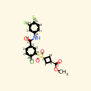 COC(=O)[C@H]1C[C@@H](S(=O)(=O)c2cc(C(=O)Nc3ccc(F)c(F)c3)ccc2Cl)C1